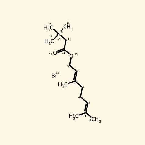 CC(C)=CCC/C(C)=C/COC(=O)C[N+](C)(C)C.[Br-]